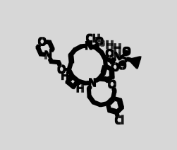 CN1CC/C=C/[C@H](OCCN2CCOCC2)[C@@H]2CC[C@H]2CN2CCCCc3cc(Cl)ccc3COc3ccc(cc32)[C@@](O)(C(=O)NS(=O)(=O)C2CC2)CC1=O